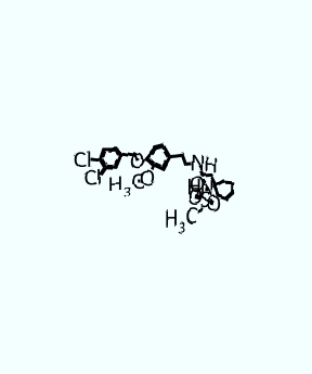 CCS(=O)(=O)NC1(CC(=O)NCCc2ccc(OCc3ccc(Cl)c(Cl)c3)c(OC)c2)CCCCC1